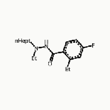 CCCCCCCN(CC)NC(=O)c1ccc(F)cc1CC